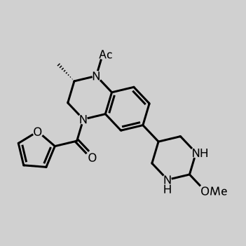 COC1NCC(c2ccc3c(c2)N(C(=O)c2ccco2)C[C@H](C)N3C(C)=O)CN1